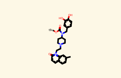 Cc1ccc2ccc(=O)n(CCN3CCC(N(Cc4ccc(O)c(O)c4)C(=O)OC(C)(C)C)CC3)c2c1